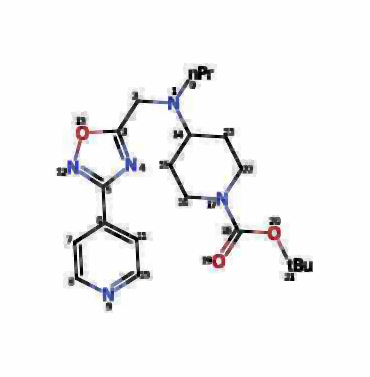 CCCN(Cc1nc(-c2ccncc2)no1)C1CCN(C(=O)OC(C)(C)C)CC1